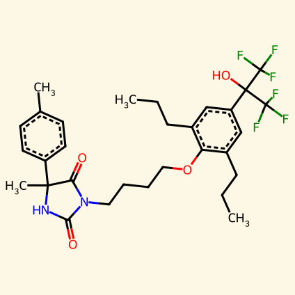 CCCc1cc(C(O)(C(F)(F)F)C(F)(F)F)cc(CCC)c1OCCCCN1C(=O)NC(C)(c2ccc(C)cc2)C1=O